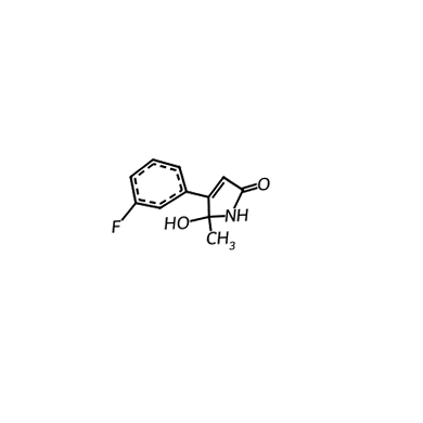 CC1(O)NC(=O)C=C1c1cccc(F)c1